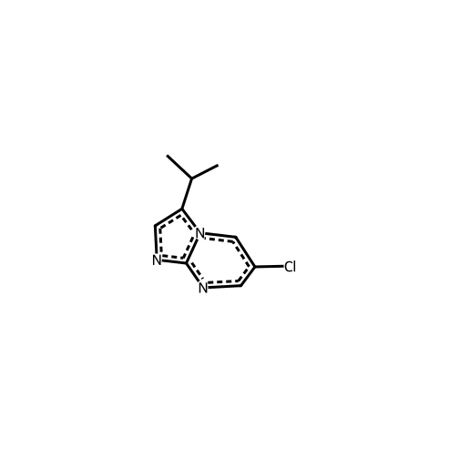 CC(C)c1cnc2ncc(Cl)cn12